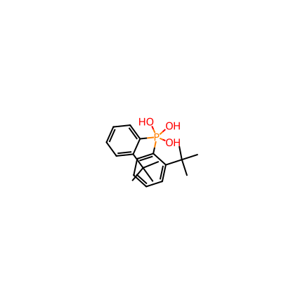 CC(C)(C)c1ccccc1P(O)(O)(O)c1ccccc1C(C)(C)C